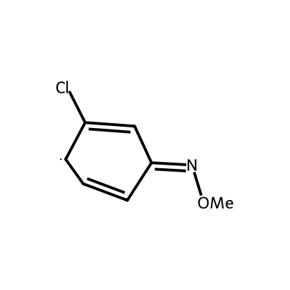 CO/N=C1\C=C[CH]C(Cl)=C1